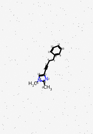 Cc1nc(C#CCCc2ccccc2)cn1C